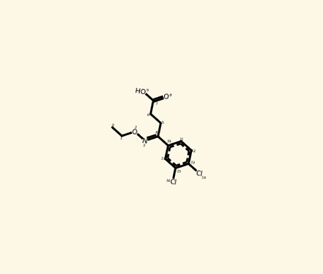 CCON=C(CCC(=O)O)c1ccc(Cl)c(Cl)c1